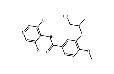 COc1ccc(C(=O)Nc2c(Cl)cncc2Cl)cc1OC(C)CO